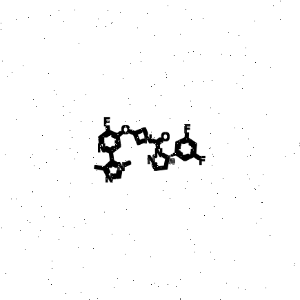 Cc1ncn(C)c1-c1cc(OC2CN(C(=O)N3N=CC[C@H]3c3cc(F)cc(F)c3)C2)c(F)cn1